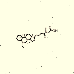 CC[C@H]1CC2C3CCC(CCCC(=O)NCC(=O)O)C3(C)CC[C@@H]2C2(C)CCCCC12